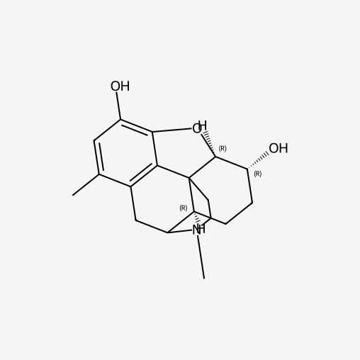 Cc1cc(O)c2c3c1CC1[C@@H]4CC[C@@H](O)[C@H](O2)C34CCN1C